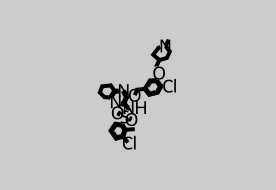 Cc1c(Cl)cccc1S(=O)(=O)Nc1nc2c(nc1OCc1ccc(Cl)c(OCC3CCN(C)CC3)c1)CCCC2